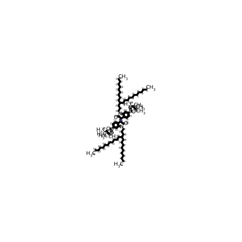 CCCCCCCCCCCCC(CCCCCCCCCC)CCCN1C(=O)/C(=C2/C(=O)N(CCCC(CCCCCCCCCC)CCCCCCCCCCCC)c3cc(B4OC(C)(C)C(C)(C)O4)ccc32)c2ccc(B3OC(C)(C)C(C)(C)O3)cc21